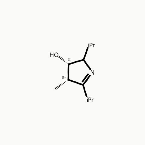 CC(C)C1=NC(C(C)C)[C@@H](O)[C@H]1C